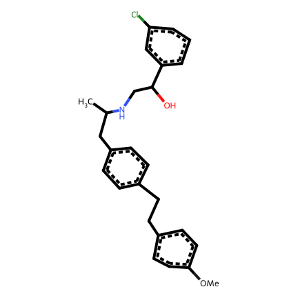 COc1ccc(CCc2ccc(CC(C)NCC(O)c3cccc(Cl)c3)cc2)cc1